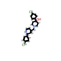 OC1(c2ccc(Cl)cc2)CCN(Cc2ccnc(-c3ccc(Cl)cc3)c2)CC1